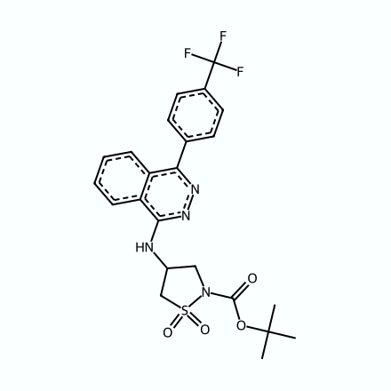 CC(C)(C)OC(=O)N1CC(Nc2nnc(-c3ccc(C(F)(F)F)cc3)c3ccccc23)CS1(=O)=O